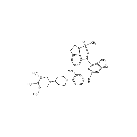 COc1cc(Nc2nc(Nc3cccc4c3N(S(C)(=O)=O)CC4)c3cc[nH]c3n2)ccc1N1CCC(N2C[C@@H](C)N(C)[C@@H](C)C2)CC1